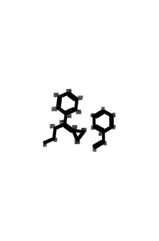 C=Cc1ccccc1.CCCC(=C1CC1)c1ccccc1